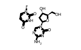 Nc1ncn([C@H]2C[C@H](O)[C@@H](CO)O2)c(=O)n1.O=c1ccn(F)c(=O)[nH]1